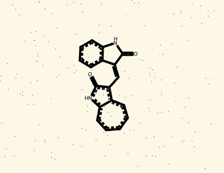 O=C1Nc2ccccc2C1=Cc1c2cccccc-2[nH]c1=O